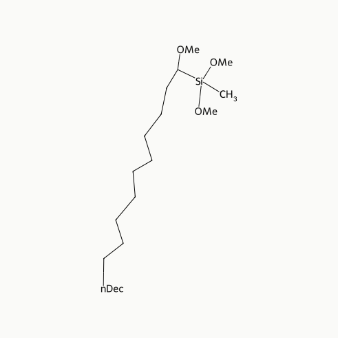 CCCCCCCCCCCCCCCCCCCC(OC)[Si](C)(OC)OC